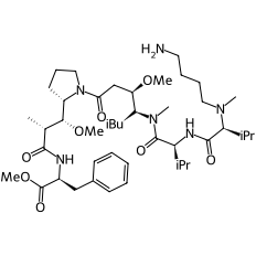 CC[C@H](C)[C@@H]([C@@H](CC(=O)N1CCC[C@H]1[C@H](OC)[C@@H](C)C(=O)N[C@@H](Cc1ccccc1)C(=O)OC)OC)N(C)C(=O)[C@@H](NC(=O)[C@H](C(C)C)N(C)CCCCN)C(C)C